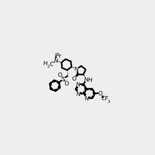 CC(C)N(C)[C@@H]1CC[C@H](N2CC[C@H](Nc3ncnc4ncc(OC(F)(F)F)cc34)C2=O)[C@H](CS(=O)(=O)c2ccccc2)C1